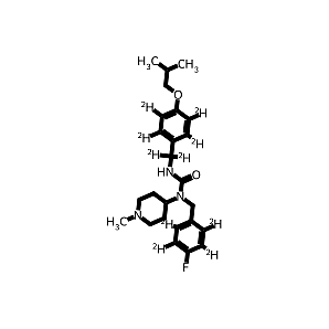 [2H]c1c([2H])c(CN(C(=O)NC([2H])([2H])c2c([2H])c([2H])c(OCC(C)C)c([2H])c2[2H])C2CCN(C)CC2)c([2H])c([2H])c1F